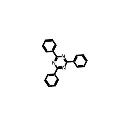 [c]1cccc(-c2nc(-c3ccccc3)nc(-c3ccccc3)n2)c1